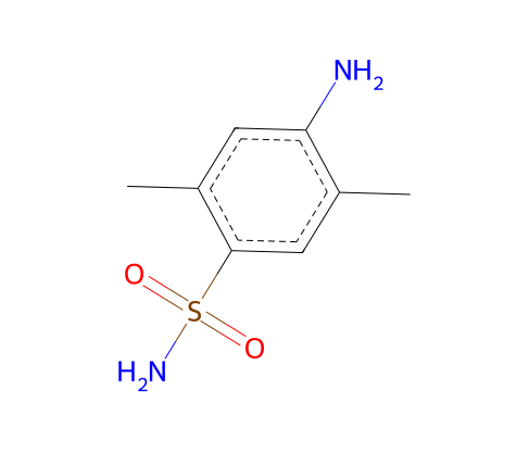 Cc1cc(S(N)(=O)=O)c(C)cc1N